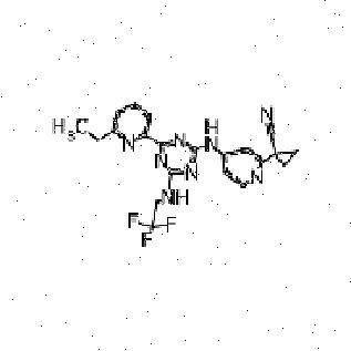 CCc1cccc(-c2nc(NCC(F)(F)F)nc(Nc3ccnc(C4(C#N)CC4)c3)n2)n1